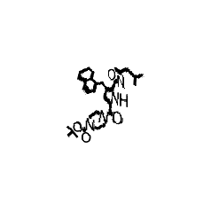 CC(C)Cc1coc(-c2[nH]c(C(=O)N3CCN(C(=O)OC(C)(C)C)CC3)cc2Cc2cccc3ccccc23)n1